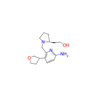 Nc1ccc(C2CCOC2)c(CN2CCC[C@H]2CCO)n1